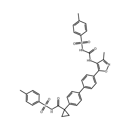 Cc1ccc(S(=O)(=O)NC(=O)Nc2c(C)noc2-c2ccc(-c3ccc(C4(C(=O)NS(=O)(=O)c5ccc(C)cc5)CC4)cc3)cc2)cc1